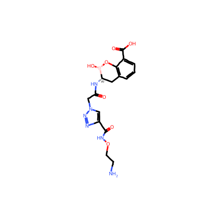 NCCONC(=O)c1cn(CC(=O)N[C@H]2Cc3cccc(C(=O)O)c3OB2O)nn1